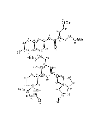 CCc1c(F)ccc2cc(OC(=O)N(CCOC)CCOC)cc(N3CCc4c(nc(OC[C@@]56CCCN5C[C@H](F)C6)nc4N4CCC[C@]5(C4)NC(=O)NC5=O)C3)c12